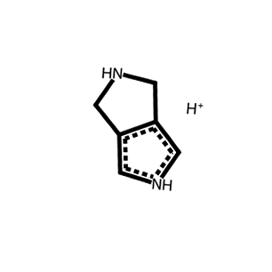 [H+].c1[nH]cc2c1CNC2